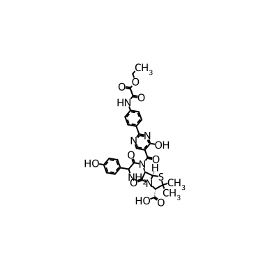 CCOC(=O)C(=O)Nc1ccc(-c2ncc(C(=O)N(C(=O)C(N)c3ccc(O)cc3)[C@@H]3C(=O)N4[C@@H]3SC(C)(C)[C@@H]4C(=O)O)c(O)n2)cc1